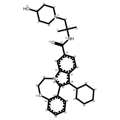 CC(C)(CN1CCC(O)CC1)NC(=O)c1ccc2c(C3CCCCC3)c3n(c2c1)CCOc1ccccc1-3